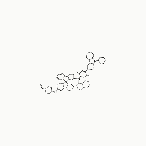 C=CC1CCC(OC2=CCC(C3(C4CCCCC4)C4=C(C=CC(N(C5CC(C)C(C6=CC7C8CCCC=C8N(C8CCCCC8)C7CC6)=CC5C)C5CCCC6CCCCC65)C4)C4C=CC=CC43)CC2)CC1